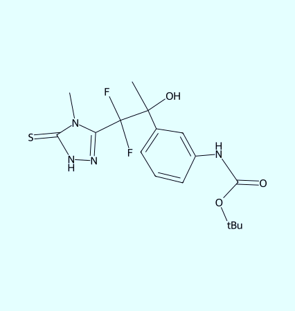 Cn1c(C(F)(F)C(C)(O)c2cccc(NC(=O)OC(C)(C)C)c2)n[nH]c1=S